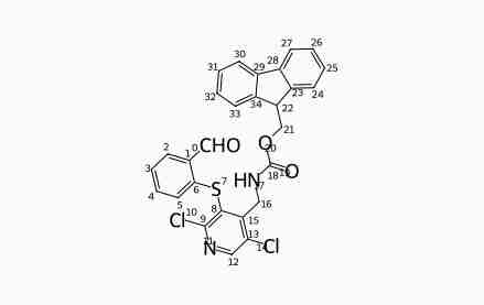 O=Cc1ccccc1Sc1c(Cl)ncc(Cl)c1CNC(=O)OCC1c2ccccc2-c2ccccc21